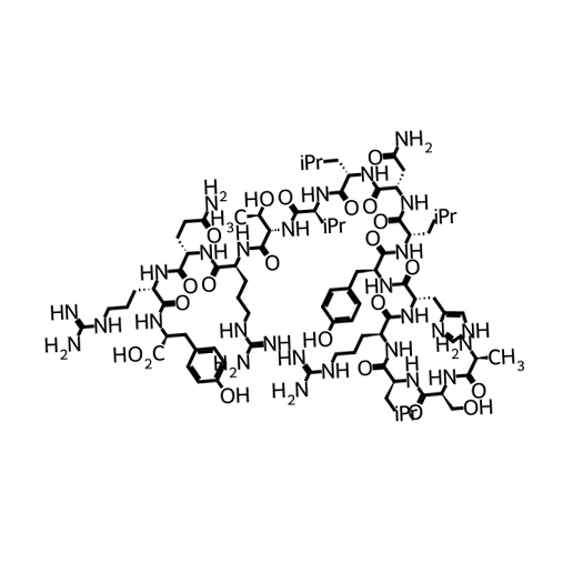 CC(C)C[C@H](NC(=O)[C@H](CO)NC(=O)[C@H](C)N)C(=O)N[C@@H](CCCNC(=N)N)C(=O)N[C@@H](Cc1c[nH]cn1)C(=O)N[C@@H](Cc1ccc(O)cc1)C(=O)N[C@@H](CC(C)C)C(=O)N[C@@H](CC(N)=O)C(=O)N[C@@H](CC(C)C)C(=O)N[C@H](C(=O)N[C@H](C(=O)N[C@@H](CCCNC(=N)N)C(=O)N[C@@H](CCC(N)=O)C(=O)N[C@@H](CCCNC(=N)N)C(=O)N[C@@H](Cc1ccc(O)cc1)C(=O)O)[C@@H](C)O)C(C)C